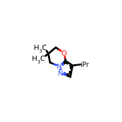 CC(C)c1cnn2c1OCC(C)(C)C2